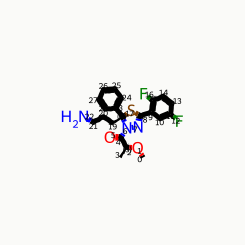 CO[C@@H](C)C(=O)N1N=C(c2cc(F)ccc2F)S[C@@]1(CCCN)c1ccccc1